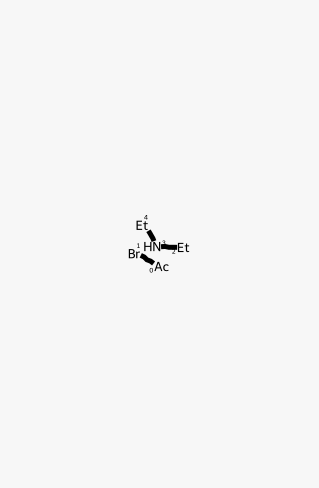 CC(=O)Br.CCNCC